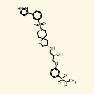 CNS(=O)(=O)c1cccc(OC[C@@H](O)CN[C@@H]2COC3(CCN(S(=O)(=O)c4cccc(-c5cc[nH]n5)c4)CC3)C2)c1